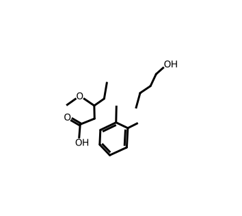 CCC(CC(=O)O)OC.CCCCO.Cc1ccccc1C